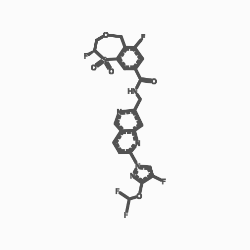 O=C(NCc1cc2nc(-n3cc(F)c(OC(F)F)n3)ccc2cn1)c1cc(F)c2c(c1)S(=O)(=O)[C@@H](F)COC2